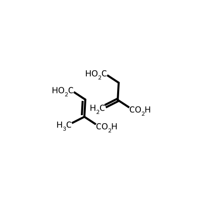 C=C(CC(=O)O)C(=O)O.CC(=CC(=O)O)C(=O)O